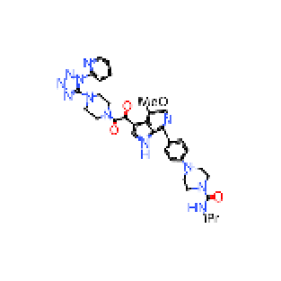 COc1cnc(-c2ccc(N3CCN(C(=O)NC(C)C)CC3)cc2)c2[nH]cc(C(=O)C(=O)N3CCN(c4nnnn4-c4ccccn4)CC3)c12